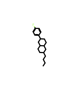 CCCCC1CCC2CC(c3ccc(F)cc3)CCC2C1